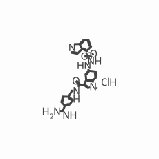 Cl.Cn1cc(C(=O)NCc2ccc(C(=N)N)cc2)c2cc(NNS(=O)(=O)c3cccc4cnccc34)ccc21